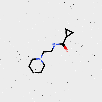 O=C(NCCN1CCCCC1)C1CC1